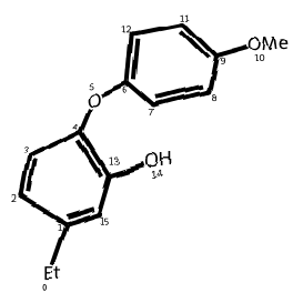 CCc1ccc(Oc2ccc(OC)cc2)c(O)c1